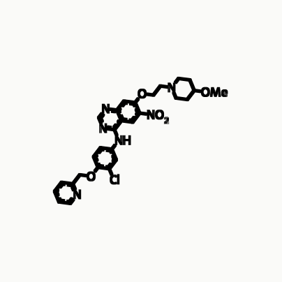 COC1CCN(CCOc2cc3ncnc(Nc4ccc(OCc5ccccn5)c(Cl)c4)c3cc2[N+](=O)[O-])CC1